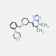 Cc1cc(C2CCCN(Cc3ccccc3N3CCOCC3)C2)n2ncnc2[n+]1C